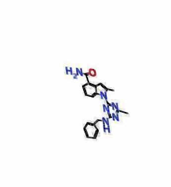 Cc1nc(NCc2ccccc2)nc(-n2c(C)cc3c(C(N)=O)cccc32)n1